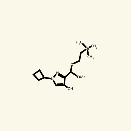 COC(OCC[Si](C)(C)C)c1nn(C2CCC2)cc1O